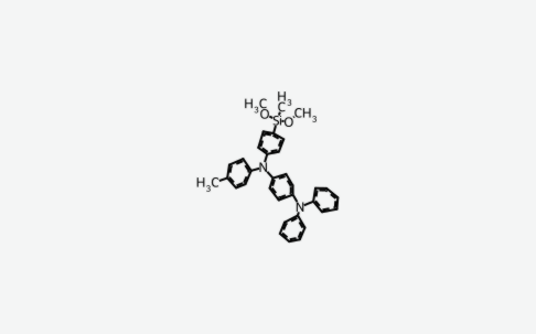 CO[Si](C)(OC)c1ccc(N(c2ccc(C)cc2)c2ccc(N(c3ccccc3)c3ccccc3)cc2)cc1